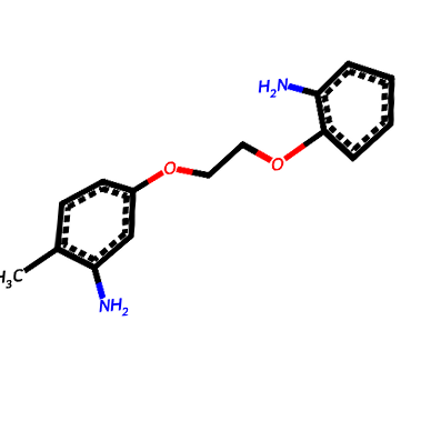 Cc1ccc(OCCOc2ccccc2N)cc1N